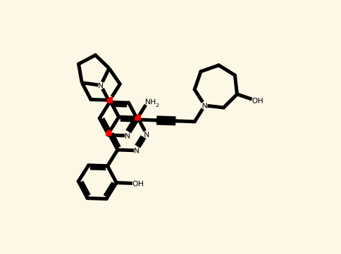 Nc1nnc(-c2ccccc2O)cc1N1CC2CCC(C1)N2c1ccnc(C#CCN2CCCCC(O)C2)c1